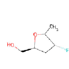 CC1O[C@H](CO)C[C@H]1F